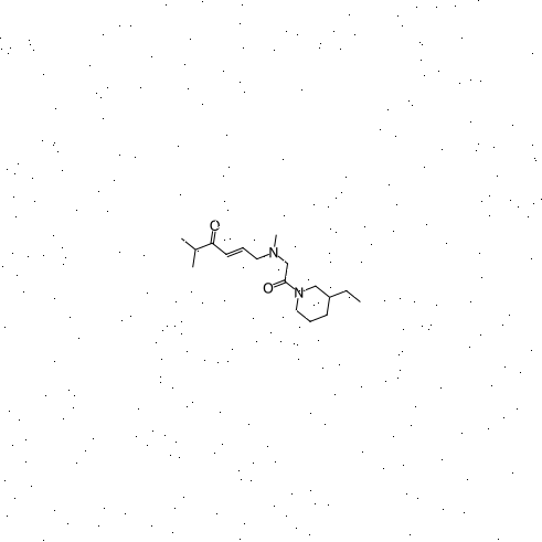 CCC1CCCN(C(=O)CN(C)C/C=C/C(=O)C(C)C)C1